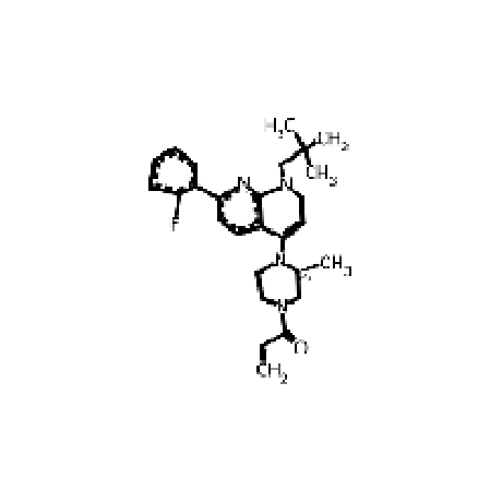 C=CC(=O)N1CCN(C2=CCN(CC(C)(C)C)c3nc(-c4ccccc4F)ccc32)[C@@H](C)C1